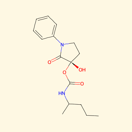 CCCC(C)NC(=O)O[C@@]1(O)CCN(c2ccccc2)C1=O